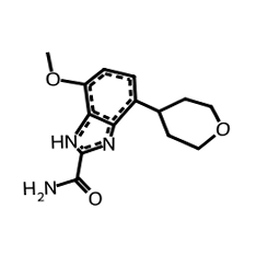 COc1ccc(C2CCOCC2)c2nc(C(N)=O)[nH]c12